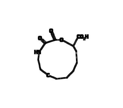 O=C1NCCCCCCCCC(C(=O)O)OC1=O